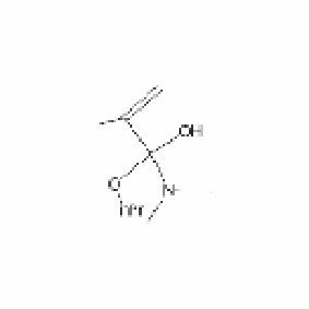 C=C(C)C(O)(OCCC)N(C)C